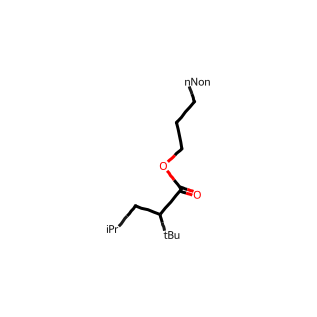 CCCCCCCCCCCCOC(=O)C(CC(C)C)C(C)(C)C